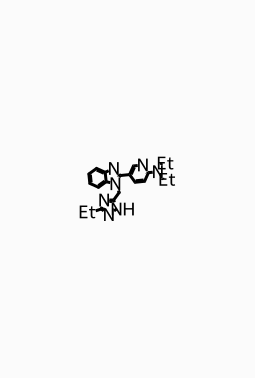 CCc1n[nH]c(Cn2c(-c3ccc(N(CC)CC)nc3)nc3ccccc32)n1